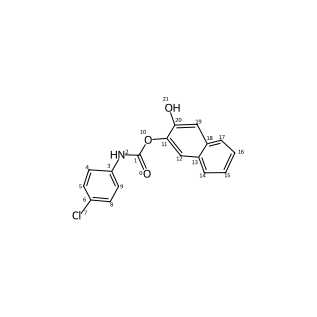 O=C(Nc1ccc(Cl)cc1)Oc1cc2ccccc2cc1O